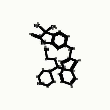 CC1(C)C(=O)Nc2cc(NC3=N[N+]4(N(CCO)C5CCNCC5)C=CN=CC4=N3)ccc21